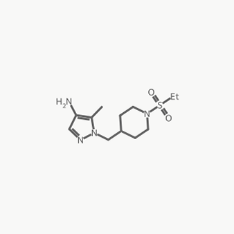 CCS(=O)(=O)N1CCC(Cn2ncc(N)c2C)CC1